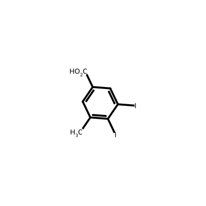 Cc1cc(C(=O)O)cc(I)c1I